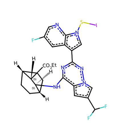 CCOC(=O)[C@H]1[C@H]2CC[C@H](CC2)[C@@H]1Nc1nc(-c2cn(SI)c3ncc(F)cc23)nn2cc(C(F)F)cc12